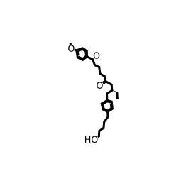 CC[C@@H](CC(=O)CCCCC(=O)c1ccc(OC)cc1)Cc1ccc(CCCCCO)cc1